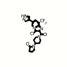 O=C(c1nc2c(C(F)(F)F)cc(-c3cn[nH]c3)cn2c1Cl)N1CCC(N2CCCC2=O)CC1